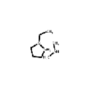 CCN1CCC[SiH2]1.CNC